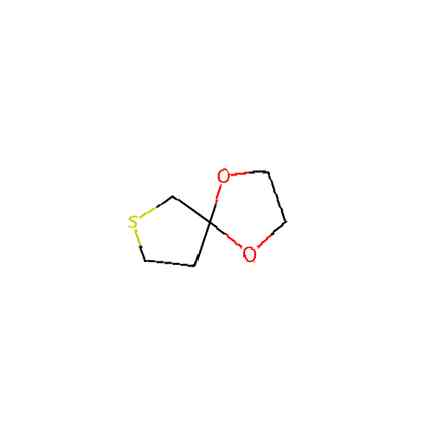 C1COC2(CCSC2)O1